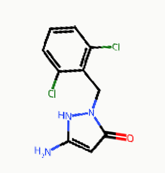 Nc1cc(=O)n(Cc2c(Cl)cccc2Cl)[nH]1